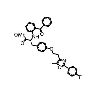 COC(=O)[C@H](Cc1ccc(OCCc2nc(-c3ccc(F)cc3)oc2C)cc1)Nc1ccccc1C(=O)c1ccccc1